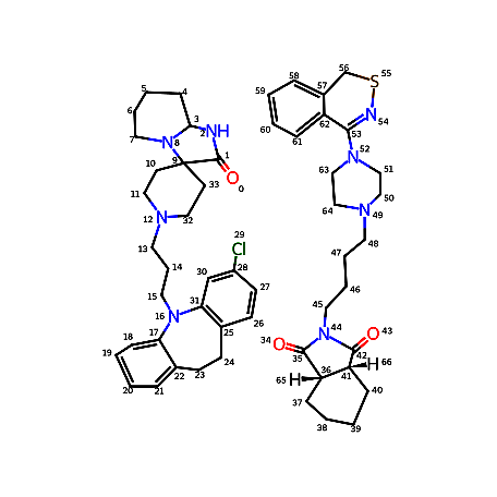 O=C1NC2CCCCN2C12CCN(CCCN1c3ccccc3CCc3ccc(Cl)cc31)CC2.O=C1[C@H]2CCCC[C@H]2C(=O)N1CCCCN1CCN(C2=NSCc3ccccc32)CC1